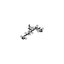 CCOC(C)C(=O)NC(CC(=O)NC(C)NC(=O)C(C)N1C(=O)C=CC1=O)C(=O)NCCNC(=O)CCN1C(=O)C=CC1=O